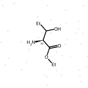 CCOC(=O)[C@@H](N)C(O)CC